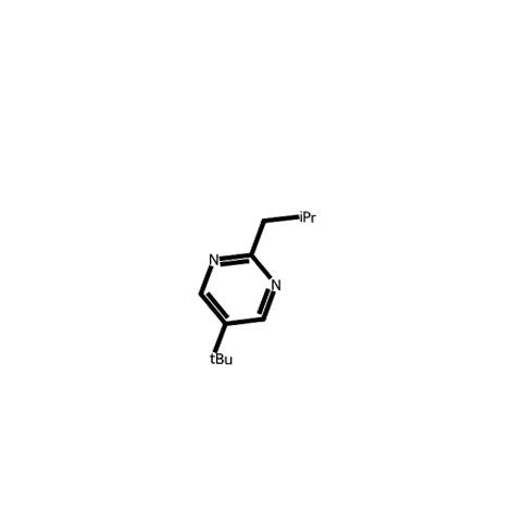 CC(C)Cc1ncc(C(C)(C)C)cn1